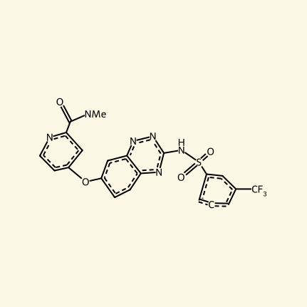 CNC(=O)c1cc(Oc2ccc3nc(NS(=O)(=O)c4cccc(C(F)(F)F)c4)nnc3c2)ccn1